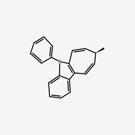 C[C@H]1C=Cc2c(n(-c3ccccc3)c3ccccc23)C=C1